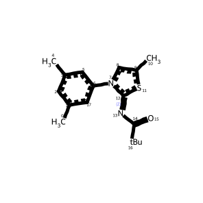 Cc1cc(C)cc(-n2cc(C)s/c2=N\C(=O)C(C)(C)C)c1